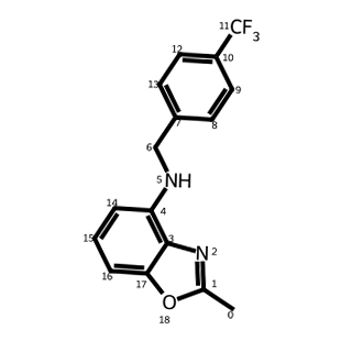 Cc1nc2c(NCc3ccc(C(F)(F)F)cc3)cccc2o1